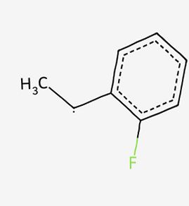 C[CH]c1ccccc1F